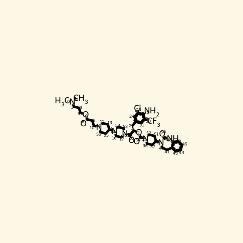 CN(C)CCCOC(=O)CCN1CCC(N2CCN(C(=O)[C@@H](Cc3cc(Cl)c(N)c(C(F)(F)F)c3)OC(=O)N3CCC(N4CCc5ccccc5NC4=O)CC3)CC2)CC1